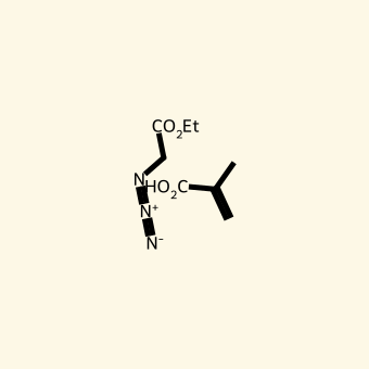 C=C(C)C(=O)O.CCOC(=O)CN=[N+]=[N-]